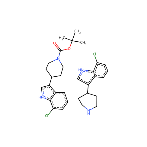 CC(C)(C)OC(=O)N1CCC(c2c[nH]c3c(Cl)cccc23)CC1.Clc1cccc2c(C3CCNCC3)c[nH]c12